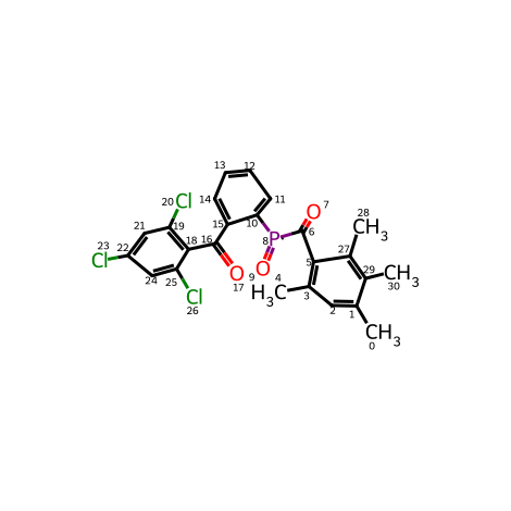 Cc1cc(C)c(C(=O)[P](=O)c2ccccc2C(=O)c2c(Cl)cc(Cl)cc2Cl)c(C)c1C